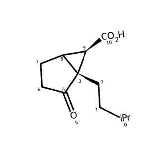 CC(C)CC[C@@]12C(=O)CCC1[C@H]2C(=O)O